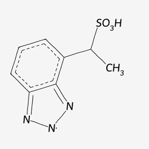 CC(c1cccc2c1=N[N]N=2)S(=O)(=O)O